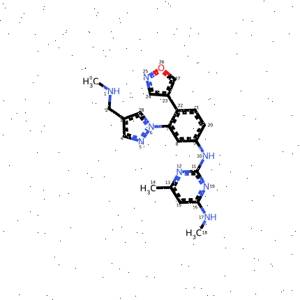 CNCc1cnn(-c2cc(Nc3nc(C)cc(NC)n3)ccc2-c2cnoc2)c1